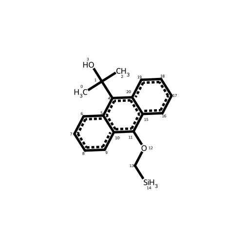 CC(C)(O)c1c2ccccc2c(OC[SiH3])c2ccccc12